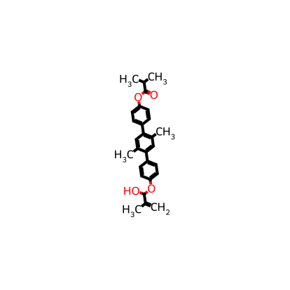 C=C(C)C(O)Oc1ccc(-c2cc(C)c(-c3ccc(OC(=O)C(C)C)cc3)cc2C)cc1